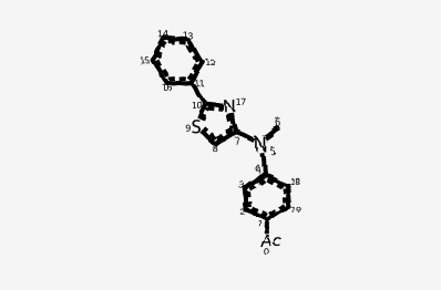 CC(=O)c1ccc(N(C)c2csc(-c3ccccc3)n2)cc1